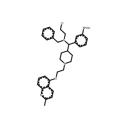 CC(=O)Nc1cccc(C(C2CCN(CCOc3cccc4nc(C)ccc34)CC2)N(CCCl)Cc2ccccc2)c1